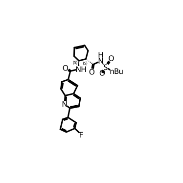 CCCCS(=O)(=O)NC(=O)[C@H]1CC=CC[C@@H]1NC(=O)c1ccc2nc(-c3cccc(F)c3)ccc2c1